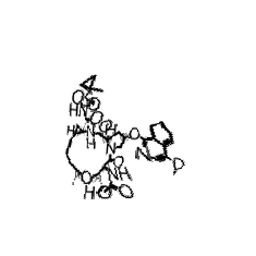 CC[C@@H]1O[C@H](C)CCC=C[C@@H]2C[C@@]2(C(=O)NS(=O)(=O)C2(C)CC2)NC(=O)[C@@H]2C[C@@H](Oc3ncc(OC)c4ccccc34)CN2C(=O)[C@H]1NC(=O)O